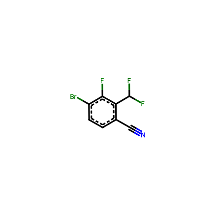 N#Cc1ccc(Br)c(F)c1C(F)F